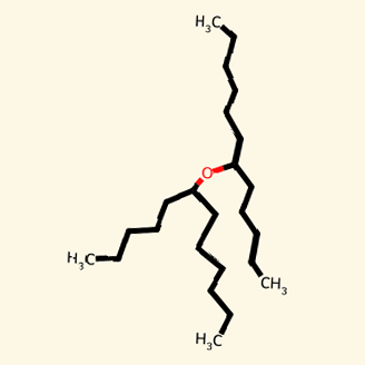 CCCCCCC(CCCCC)OC(CCCCC)CCCCCC